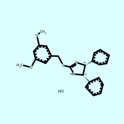 COc1cc(CSC2=N[C@H](c3ccccc3)[C@H](c3ccccc3)N2)cc(OC)c1.Cl